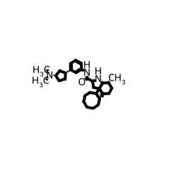 CC1CCC(F)C2(C3CCCCCCC3)CC(C(=O)Nc3cccc([C@H]4CC[C@H](N(C)C)C4)c3)NC12